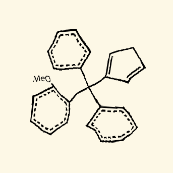 COc1ccccc1C(C1=CCC=C1)(c1ccccc1)c1ccccc1